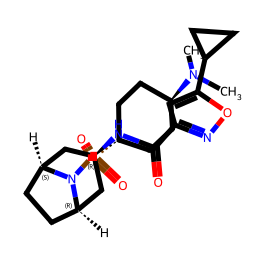 CN(C)[C@H]1CC[C@H](S(=O)(=O)N2[C@@H]3CC[C@H]2C[C@@H](NC(=O)c2cc(C4CC4)on2)C3)CC1